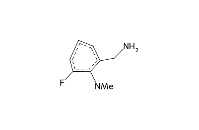 CNc1c(F)cccc1CN